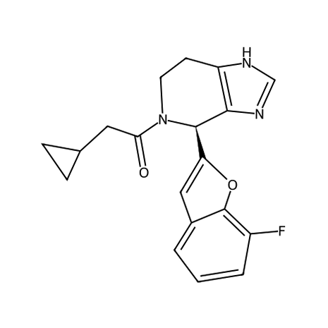 O=C(CC1CC1)N1CCc2[nH]cnc2[C@H]1c1cc2cccc(F)c2o1